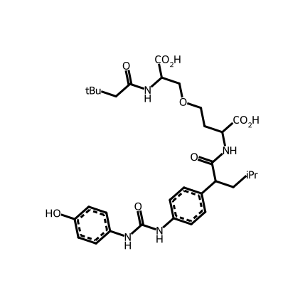 CC(C)CC(C(=O)NC(CCOCC(NC(=O)CC(C)(C)C)C(=O)O)C(=O)O)c1ccc(NC(=O)Nc2ccc(O)cc2)cc1